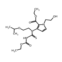 CCOC(=O)NC(=S)N(CCOC(C)C)c1ccn(CCO)c1C(=O)OCC